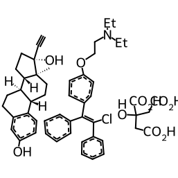 C#C[C@]1(O)CC[C@H]2[C@@H]3CCc4cc(O)ccc4[C@H]3CC[C@@]21C.CCN(CC)CCOc1ccc(C(=C(Cl)c2ccccc2)c2ccccc2)cc1.O=C(O)CC(O)(CC(=O)O)C(=O)O